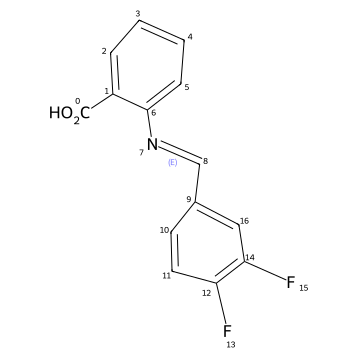 O=C(O)c1ccccc1/N=C/c1ccc(F)c(F)c1